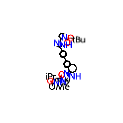 COC(=O)N[C@H](C(=O)N1CCC[C@H]1c1nc2c([nH]1)CCCc1cc(-c3ccc(-c4cnc(C5CCCN5C(=O)OC(C)(C)C)[nH]4)cc3)ccc1-2)C(C)C